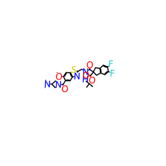 COc1cc2sc(CNC(=O)C3(C(=O)OC(C)(C)C)Cc4cc(F)c(F)cc4C3)nc2cc1C(=O)N1CC(N(C)C)C1